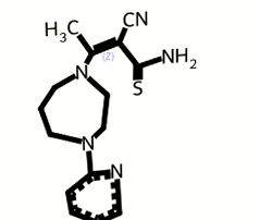 C/C(=C(\C#N)C(N)=S)N1CCCN(c2ccccn2)CC1